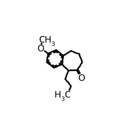 CCCC1C(=O)CCCc2cc(OC)ccc21